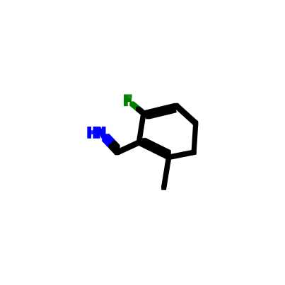 CC1=C(C=N)C(F)=CCC1